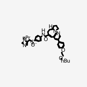 CCCCOCCOc1ccc(-c2cnc3c(c2)C=C(C(=O)Nc2ccc([S@@+]([O-])Cc4cncn4CCC)cc2)CC[C@H]2CCCN32)cc1